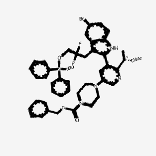 CO[C@@H](C)c1ncc(N2CCN(C(=O)OCc3ccccc3)CC2)cc1-c1[nH]c2ccc(Br)cc2c1CC(F)(F)CO[Si](c1ccccc1)(c1ccccc1)C(C)(C)C